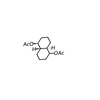 CC(=O)OC1CCC[C@@H]2[C@@H](OC(C)=O)CCC[C@@H]12